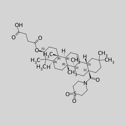 CC1(C)CC[C@]2(C(=O)N3CCS(=O)(=O)CC3)CC[C@]3(C)C(=CC[C@@H]4[C@@]5(C)CC[C@H](OC(=O)CCC(=O)O)C(C)(C)[C@@H]5CC[C@]43C)[C@@H]2C1